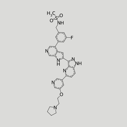 CS(=O)(=O)NCc1cc(F)cc(-c2cncc3[nH]c(-c4n[nH]c5ccc(-c6cncc(OCCN7CCCC7)c6)nc45)cc23)c1